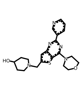 OC1CCN(Cc2cc3nc(-c4cccnc4)nc(N4CCOCC4)c3s2)CC1